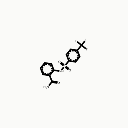 NC(=O)c1ccccc1NS(=O)(=O)c1ccc(C(F)(F)F)cc1